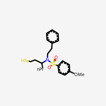 CCCC(CCS)N(CCc1ccccc1)S(=O)(=O)c1ccc(OC)cc1